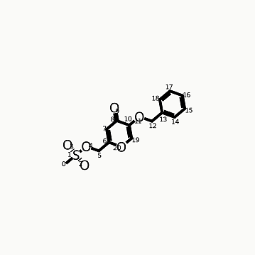 CS(=O)(=O)OCc1cc(=O)c(OCc2ccccc2)co1